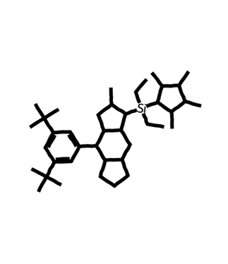 CC[Si](CC)(C1C(C)C(C)C(C)C1C)C1C(C)CC2C1CC1CCCC1C2c1cc(C(C)(C)C)cc(C(C)(C)C)c1